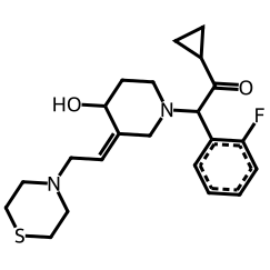 O=C(C1CC1)C(c1ccccc1F)N1CCC(O)/C(=C\CN2CCSCC2)C1